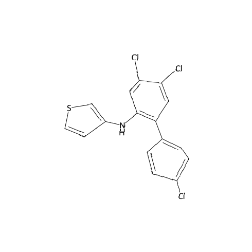 Clc1ccc(-c2cc(Cl)c(Cl)cc2Nc2ccsc2)cc1